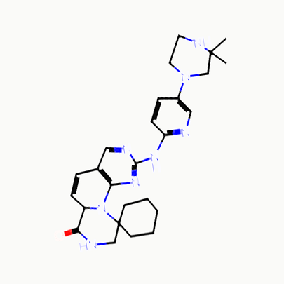 CC1(C)CN(c2ccc(Nc3ncc4c(n3)N3C(C=C4)C(=O)NCC34CCCCC4)nc2)CCN1